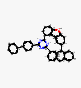 c1ccc(-c2ccc(-c3nc(-c4ccccc4)nc(-c4cccc5oc6ccc(-c7cccc8ccccc78)cc6c45)n3)cc2)cc1